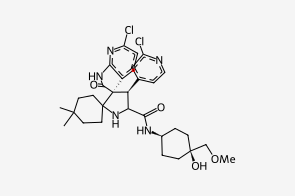 COC[C@]1(O)CC[C@@H](NC(=O)C2NC3(CCC(C)(C)CC3)[C@@]3(C(=O)Nc4nc(Cl)ccc43)[C@H]2c2ccnc(Cl)c2)CC1